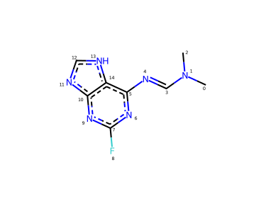 CN(C)C=Nc1nc(F)nc2nc[nH]c12